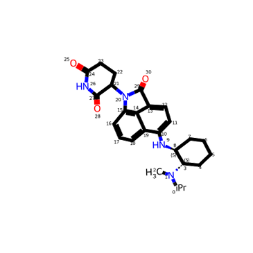 CC(C)N(C)[C@H]1CCCC[C@@H]1Nc1ccc2c3c(cccc13)N(C1CCC(=O)NC1=O)C2=O